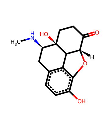 CN[C@@H]1Cc2ccc(O)c3c2C2[C@@H](O3)C(=O)CC[C@]21O